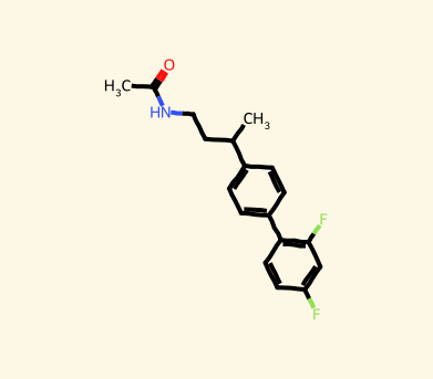 CC(=O)NCCC(C)c1ccc(-c2ccc(F)cc2F)cc1